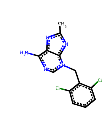 Cc1nc2c(N)ncn(Cc3c(Cl)cccc3Cl)c-2n1